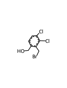 OCc1ccc(Cl)c(Cl)c1CBr